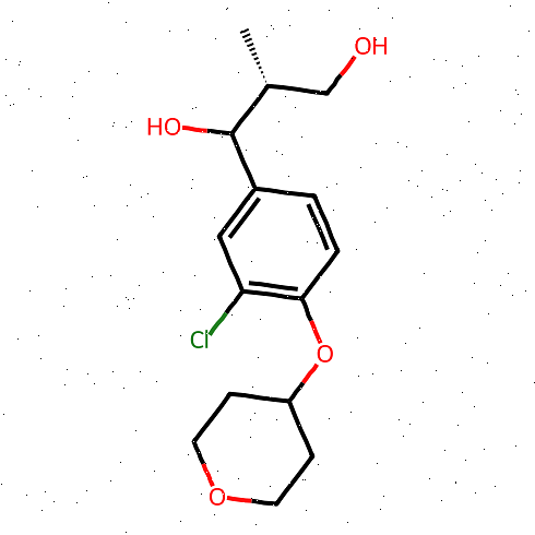 C[C@H](CO)C(O)c1ccc(OC2CCOCC2)c(Cl)c1